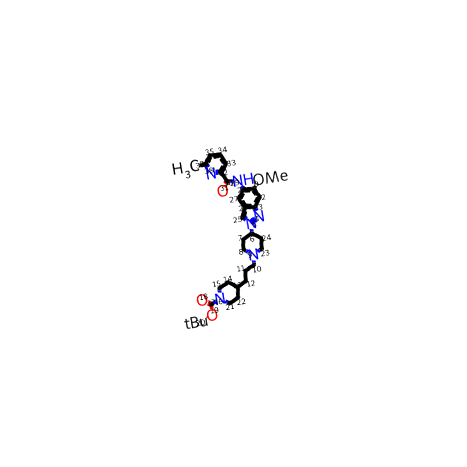 COc1cc2nn(C3CCN(CCCC4CCN(C(=O)OC(C)(C)C)CC4)CC3)cc2cc1NC(=O)c1cccc(C)n1